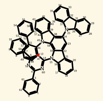 c1ccc(-c2nc(-c3ccccc3)nc(-n3c4ccccc4c4cc(-n5c6ccccc6c6ccccc65)c5c6ccccc6n(-c6ccccc6-c6ccccc6)c5c43)n2)cc1